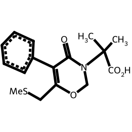 CSCC1=C(c2ccccc2)C(=O)N(C(C)(C)C(=O)O)CO1